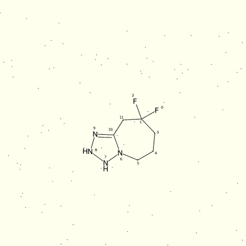 FC1(F)CCCN2NNN=C2C1